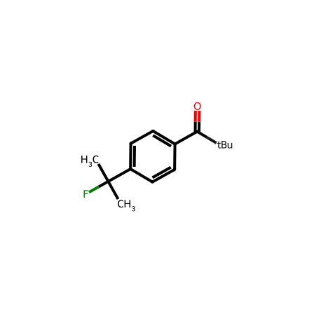 CC(C)(C)C(=O)c1ccc(C(C)(C)F)cc1